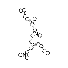 c1ccc(-n2c3ccccc3c3cc(-c4ccc5c(c4)c4ccc(-c6ccc7c8cc(-c9ccc%10c(c9)c9ccccc9n%10-c9ccc%10ccc(-c%11cccc%12ccccc%11%12)cc%10c9)ccc8n(-c8ccccc8)c7c6)cc4n5-c4ccc5ccc(-c6ccc7ccccc7c6)cc5c4)ccc32)cc1